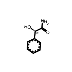 NC(=O)[C@H](O)c1ccccc1